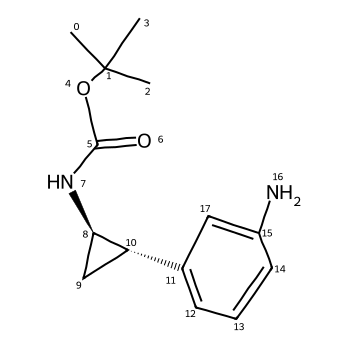 CC(C)(C)OC(=O)N[C@@H]1C[C@H]1c1cccc(N)c1